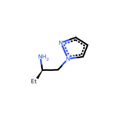 CC[C@@H](N)Cn1cc[c]n1